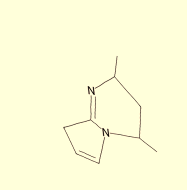 CC1CC(C)N2C=CCC2=N1